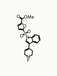 COC(=O)c1ccc(S(=O)(=O)n2cc(C3=CCN(C)CC3)c3ccccc32)o1